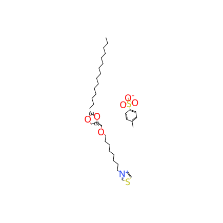 CCCCCCCCCCCCCCC[C@H]1OC[C@H](COCCCCCCCC[n+]2ccsc2)O1.Cc1ccc(S(=O)(=O)[O-])cc1